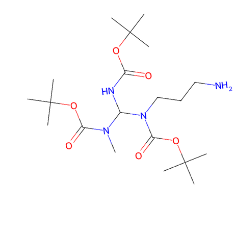 CN(C(=O)OC(C)(C)C)C(NC(=O)OC(C)(C)C)N(CCCN)C(=O)OC(C)(C)C